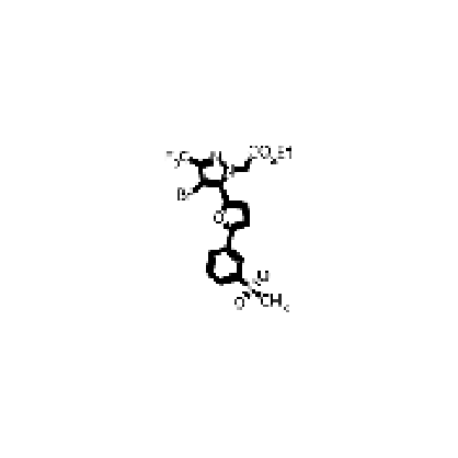 CCOC(=O)Cn1nc(C(F)(F)F)c(Br)c1-c1ccc(-c2cccc(S(C)(=O)=O)c2)o1